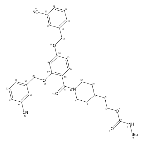 CC(C)(C)NC(=O)OCCC1CCN(C(=O)c2ccc(OCc3cccc(C#N)c3)cc2OCc2cccc(C#N)c2)CC1